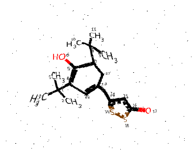 CC(C)(C)C1=C(O)C(C(C)(C)C)CC(c2cc(=O)ss2)=C1